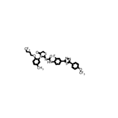 Cc1ccc(OCCCC(F)(F)F)c(N2C(=O)CS/C2=N\C(=O)Nc2ccc(-c3nnc(-c4ccc(OC(F)(F)F)cc4)s3)cc2F)c1